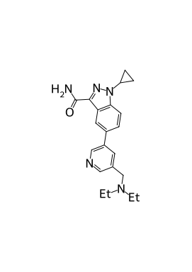 CCN(CC)Cc1cncc(-c2ccc3c(c2)c(C(N)=O)nn3C2CC2)c1